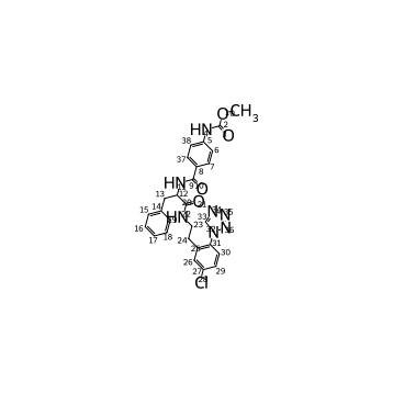 COC(=O)Nc1ccc(C(=O)NC(Cc2ccccc2)C(=O)NCCc2cc(Cl)ccc2-n2cnnn2)cc1